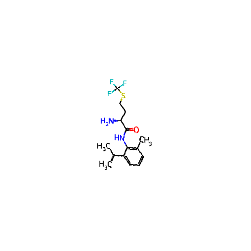 Cc1cccc(C(C)C)c1NC(=O)[C@@H](N)CCSC(F)(F)F